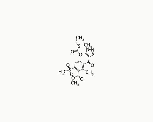 CCSC(=O)Oc1c(C(=O)c2ccc(S(C)(=O)=O)c(C(=O)OC)c2C)cnn1C